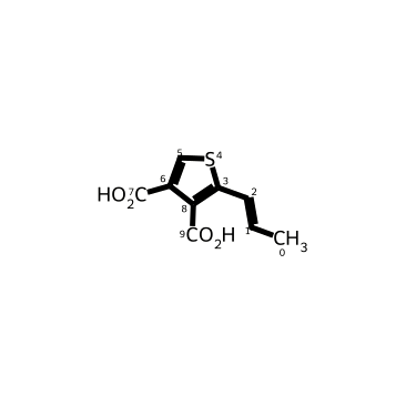 CC=Cc1scc(C(=O)O)c1C(=O)O